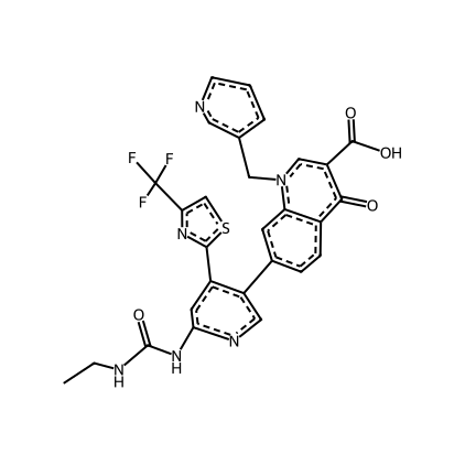 CCNC(=O)Nc1cc(-c2nc(C(F)(F)F)cs2)c(-c2ccc3c(=O)c(C(=O)O)cn(Cc4cccnc4)c3c2)cn1